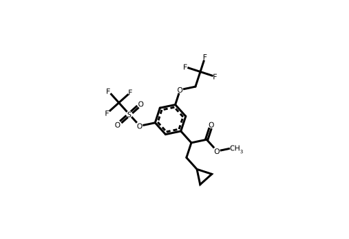 COC(=O)C(CC1CC1)c1cc(OCC(F)(F)F)cc(OS(=O)(=O)C(F)(F)F)c1